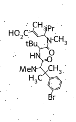 CNC(C(=O)NC(C(=O)N(C)C(/C=C(\C)C(=O)O)C(C)C)C(C)(C)C)C(C)(C)c1cccc(Br)c1